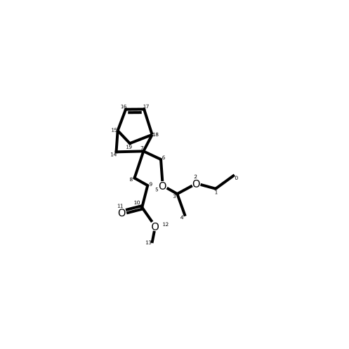 CCOC(C)OCC1(CCC(=O)OC)CC2C=CC1C2